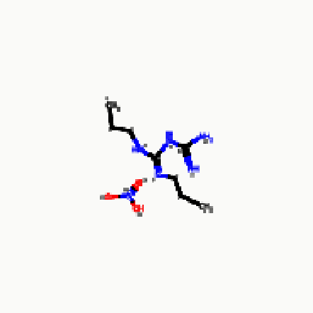 CCC/N=C(/NCCC)NC(=N)N.O=[N+]([O-])O